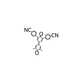 CC1=CC(=C2C=C(c3ccc(C#N)cc3)C(=O)C(c3ccc(C#N)cc3)=C2)C=C(C)C1=O